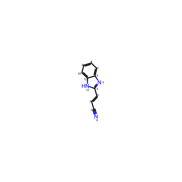 N#CC=Cc1nc2ccccc2[nH]1